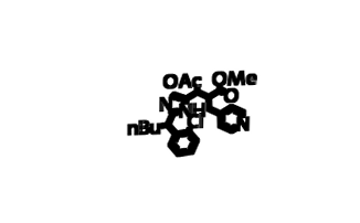 CCCCC(c1ncc(C(OC(C)=O)C(Cc2ccncc2)C(=O)OC)[nH]1)c1ccccc1Cl